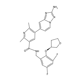 Cc1nc(C)c(-c2ccn3nc(N)nc3c2)cc1C(=O)NCc1cc(F)cc(F)c1O[C@H]1CCOC1